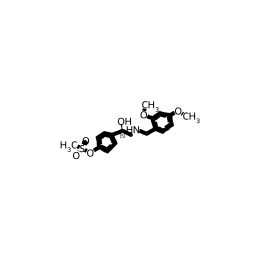 COc1ccc(CNC[C@@H](O)c2ccc(OS(C)(=O)=O)cc2)c(OC)c1